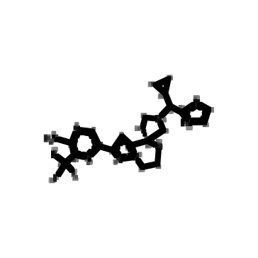 Nc1ncc(-c2cc3n(n2)CCO[C@@]32CCN(C(c3ncc[nH]3)C3CC3)C2)nc1C(F)(F)F